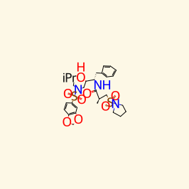 CC(C)CN(C[C@@H](O)[C@H](Cc1ccccc1)NC(=O)[C@H](C)CS(=O)(=O)N1CCCC1)S(=O)(=O)c1ccc2c(c1)OCO2